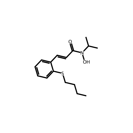 CCCCSc1ccccc1/C=C/C(=O)N(O)C(C)C